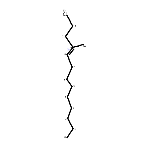 CCCCCCCC/C=C(\C)CCCl